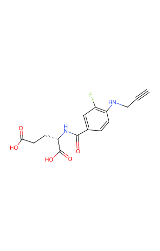 C#CCNc1ccc(C(=O)N[C@@H](CCC(=O)O)C(=O)O)cc1F